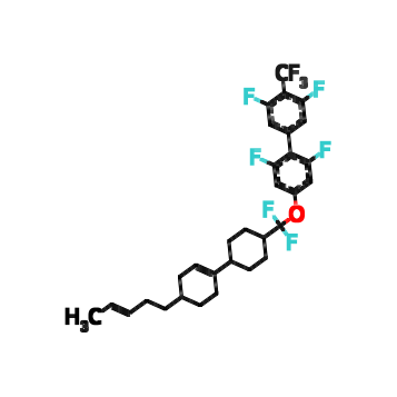 C/C=C/CCC1CC=C(C2CCC(C(F)(F)Oc3cc(F)c(-c4cc(F)c(C(F)(F)F)c(F)c4)c(F)c3)CC2)CC1